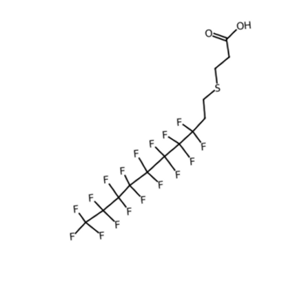 O=C(O)CCSCCC(F)(F)C(F)(F)C(F)(F)C(F)(F)C(F)(F)C(F)(F)C(F)(F)C(F)(F)F